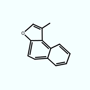 Cc1[c]oc2ccc3ccccc3c12